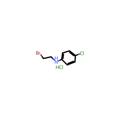 Cl.Clc1ccc(NCCBr)cc1